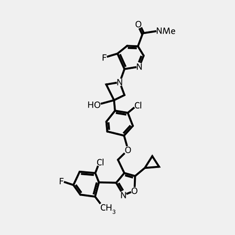 CNC(=O)c1cnc(N2CC(O)(c3ccc(OCc4c(-c5c(C)cc(F)cc5Cl)noc4C4CC4)cc3Cl)C2)c(F)c1